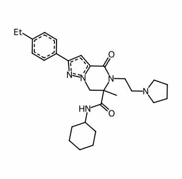 CCc1ccc(-c2cc3n(n2)CC(C)(C(=O)NC2CCCCC2)N(CCN2CCCC2)C3=O)cc1